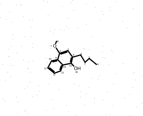 CCCCc1cc(OC)c2ccccc2c1O